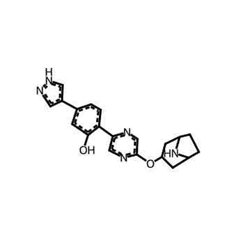 Oc1cc(-c2cn[nH]c2)ccc1-c1cnc(OC2CC3CCC(C2)N3)cn1